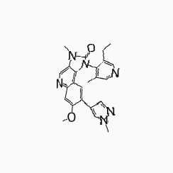 CCc1cncc(C)c1-n1c(=O)n(C)c2cnc3cc(OC)c(-c4cnn(C)c4)cc3c21